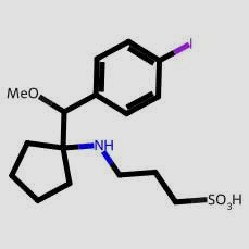 COC(c1ccc(I)cc1)C1(NCCCS(=O)(=O)O)CCCC1